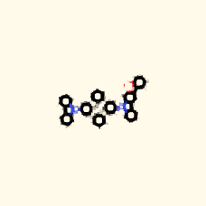 c1ccc([Si](c2ccccc2)(c2ccc(-n3c4ccccc4c4ccccc43)cc2)c2ccc(-n3c4ccccc4c4cc5c(cc43)oc3ccccc35)cc2)cc1